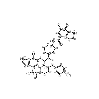 CC(CCn1cc(C(=O)N(C)C2CCN(Cc3ccc(C#N)cc3)CC2)c2cc[nH]c2c1=O)N1CCCC(NC(=O)c2cn(C)c(=O)c3[nH]ccc23)CC1